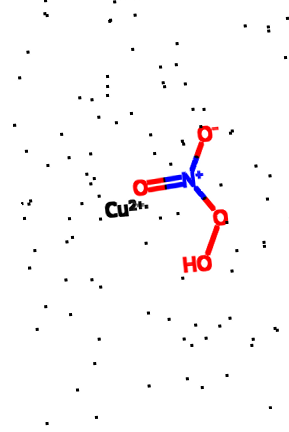 O=[N+]([O-])OO.[Cu+2]